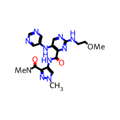 CNC(=O)c1nn(C)cc1NC(=O)c1nc(NCCOC)ncc1Nc1cncnc1